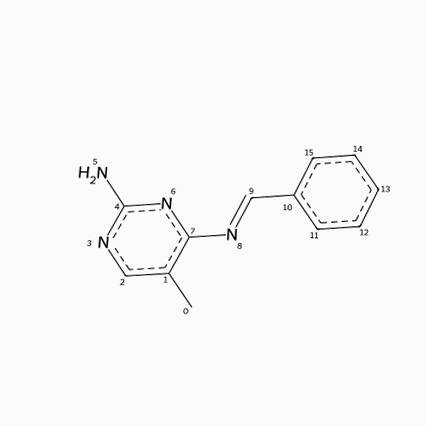 Cc1cnc(N)nc1N=Cc1ccccc1